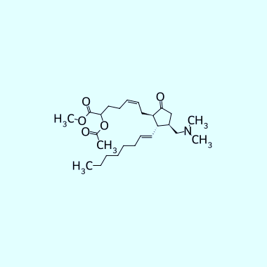 CCCCCC/C=C/[C@H]1[C@H](CN(C)C)CC(=O)[C@@H]1C/C=C\CCC(OC(C)=O)C(=O)OC